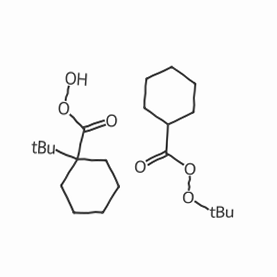 CC(C)(C)C1(C(=O)OO)CCCCC1.CC(C)(C)OOC(=O)C1CCCCC1